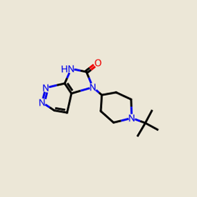 CC(C)(C)N1CCC(n2c(=O)[nH]c3nnccc32)CC1